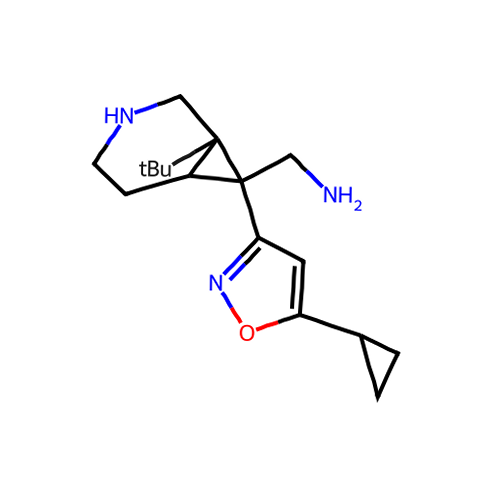 CC(C)(C)C12CNCCC1C2(CN)c1cc(C2CC2)on1